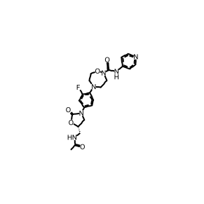 CC(=O)NC[C@H]1CN(c2ccc(N3CCON(C(=O)Nc4ccncc4)CC3)c(F)c2)C(=O)O1